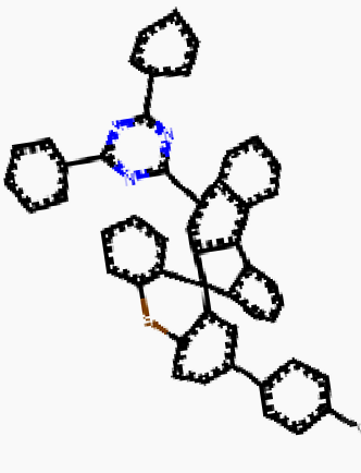 N#Cc1ccc(-c2ccc3c(c2)C2(c4ccccc4S3)c3ccccc3-c3c2cc(-c2nc(-c4ccccc4)nc(-c4ccccc4)n2)c2ccccc32)cc1